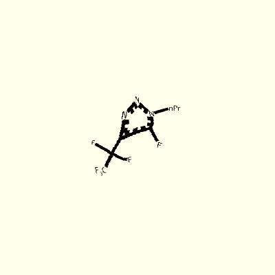 CCCn1nnc(C(F)(F)C(F)(F)F)c1F